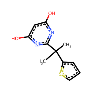 CC(C)(c1nc(O)cc(O)n1)c1cccs1